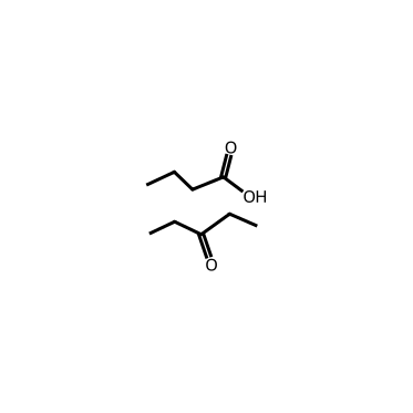 CCC(=O)CC.CCCC(=O)O